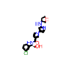 O=C(N[C@H](CO)c1cccc(Cl)c1)c1ccn(-c2ccnc(NC3CCOC3)c2)c1